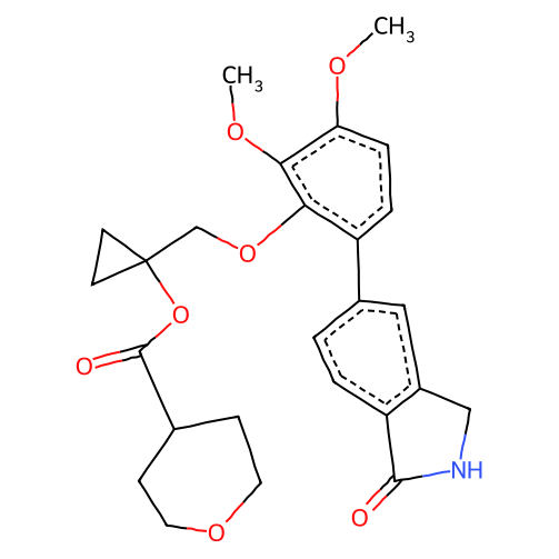 COc1ccc(-c2ccc3c(c2)CNC3=O)c(OCC2(OC(=O)C3CCOCC3)CC2)c1OC